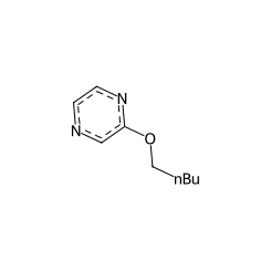 CCCCCOc1cnccn1